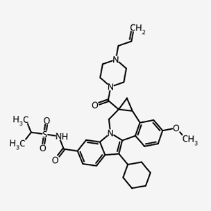 C=CCN1CCN(C(=O)C23CC2c2cc(OC)ccc2-c2c(C4CCCCC4)c4ccc(C(=O)NS(=O)(=O)C(C)C)cc4n2C3)CC1